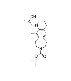 Cc1c2c(cc3c1N(C[C@H](C)O)CCC3)CCN(C(=O)OC(C)(C)C)CC2